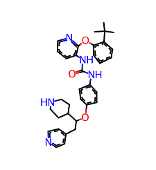 CC(C)(C)c1ccccc1Oc1ncccc1NC(=O)Nc1ccc(OC(Cc2ccncc2)C2CCNCC2)cc1